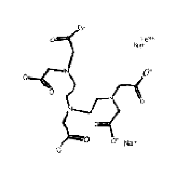 O=C([O-])CN(CCN(CC(=O)[O-])CC(=O)[O-])CCN(CC(=O)[O-])CC(=O)[O-].[Fe+3].[Na+].[Na+]